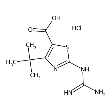 CC(C)(C)c1nc(NC(=N)N)sc1C(=O)O.Cl